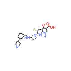 O=C(O)c1c[nH]c2nc(N3CCC(NCc4cccc(-c5ccncc5)c4)C3)c(F)cc2c1=O